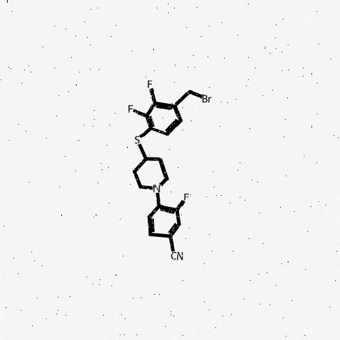 N#Cc1ccc(N2CCC(Sc3ccc(CBr)c(F)c3F)CC2)c(F)c1